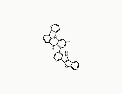 Cc1cc(-c2cccc3c2[nH]c2c4ccccc4oc32)c2c(c1)-n1c3ccccc3c3cccc(c31)B2